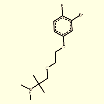 C[SiH](C)C(C)(C)COCCOc1ccc(F)c(Br)c1